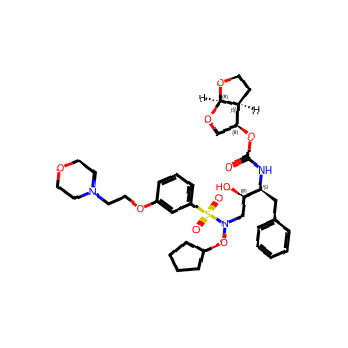 O=C(N[C@@H](Cc1ccccc1)[C@H](O)CN(OC1CCCC1)S(=O)(=O)c1cccc(OCCN2CCOCC2)c1)O[C@H]1CO[C@H]2OCC[C@H]21